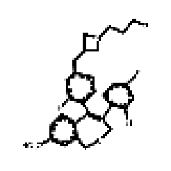 O=C(O)c1ccc2c(c1)CCCC(c1ccc(F)cc1Cl)=C2c1ccc(CC2CN(CCCF)C2)cc1F